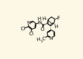 Cc1cc([C@H]2[C@H]3O[C@H](C[C@H]3F)[C@@H]2C(=O)Nc2cnc(Cl)c(Cl)c2)ccn1